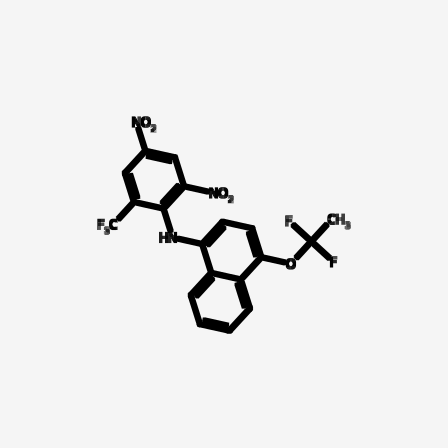 CC(F)(F)Oc1ccc(Nc2c([N+](=O)[O-])cc([N+](=O)[O-])cc2C(F)(F)F)c2ccccc12